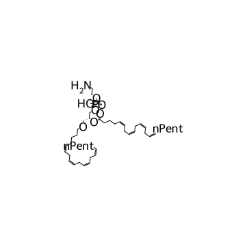 CCCCC/C=C\C/C=C\C/C=C\C/C=C\CCCCOC[C@H](COP(=O)(O)OCCN)OC(=O)CCC/C=C\C/C=C\C/C=C\C/C=C\CCCCC